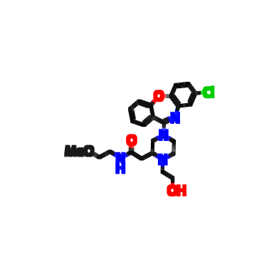 COCCNC(=O)CC1CN(C2=Nc3cc(Cl)ccc3Oc3ccccc32)CCN1CCO